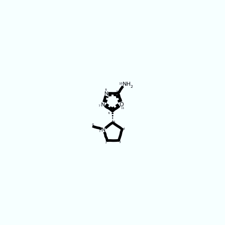 CN1CCC[C@H]1c1nnc(N)o1